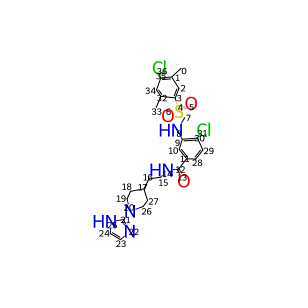 Cc1cc(S(=O)(=O)CNc2cc(C(=O)NCCC3CCN(c4ncc[nH]4)CC3)ccc2Cl)c(C)cc1Cl